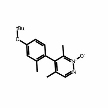 Cc1cc(OC(C)(C)C)ccc1-c1c(C)cn[n+]([O-])c1C